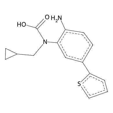 Nc1ccc(-c2cccs2)cc1N(CC1CC1)C(=O)O